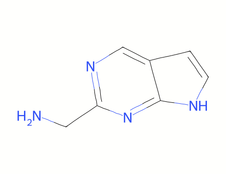 NCc1ncc2cc[nH]c2n1